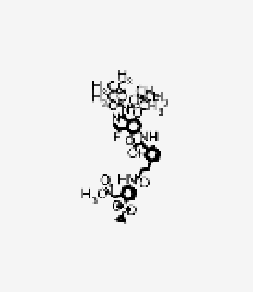 CN(C=O)Cc1cc(NC(=O)CCc2cccc(C(Nc3ccc4c(N(C(=O)OC(C)(C)C)C(=O)OC(C)(C)C)ncc(F)c4c3)C(=O)O)c2)ccc1S(=O)(=O)C1CC1